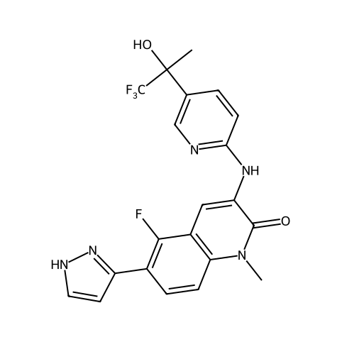 Cn1c(=O)c(Nc2ccc(C(C)(O)C(F)(F)F)cn2)cc2c(F)c(-c3cc[nH]n3)ccc21